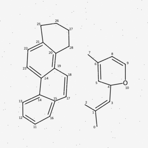 CC(C)=CC1C=C(C)C=CO1.c1ccc2c(c1)ccc1c3c(ccc12)CCCC3